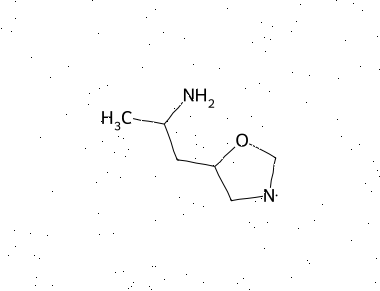 CC(N)CC1C[N]CO1